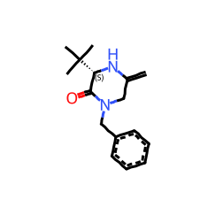 C=C1CN(Cc2ccccc2)C(=O)[C@H](C(C)(C)C)N1